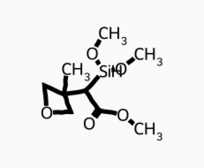 COC(=O)C([SiH](OC)OC)C1(C)COC1